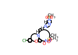 C[C@@H]1[C@@H](C)CCC[C@@H](CN2CCN3CCN(S(C)(=O)=O)C[C@H]3C2)[C@@H]2CC[C@H]2CN2CCCCc3cc(Cl)ccc3COc3ccc(cc32)C(=O)NS1(=O)=O